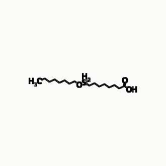 CCCCCCCCO[SiH2]CCCCCCCC(=O)O